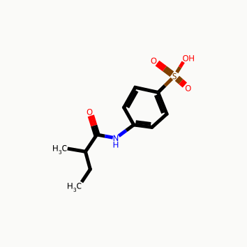 CCC(C)C(=O)Nc1ccc(S(=O)(=O)O)cc1